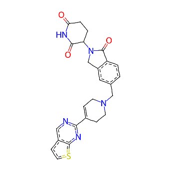 O=C1CCC(N2Cc3cc(CN4CC=C(c5ncc6ccsc6n5)CC4)ccc3C2=O)C(=O)N1